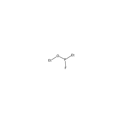 CCOP(F)CC